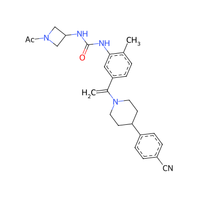 C=C(c1ccc(C)c(NC(=O)NC2CN(C(C)=O)C2)c1)N1CCC(c2ccc(C#N)cc2)CC1